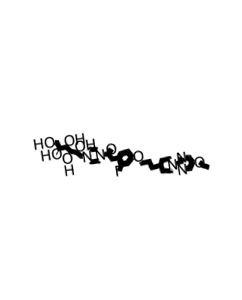 CCOc1cnc(N2CCC(CCCOc3ccc(CC(=O)N4CCN(C[C@H](O)[C@@H](O)[C@H](O)[C@H](O)CO)CC4)c(F)c3)CC2)nc1